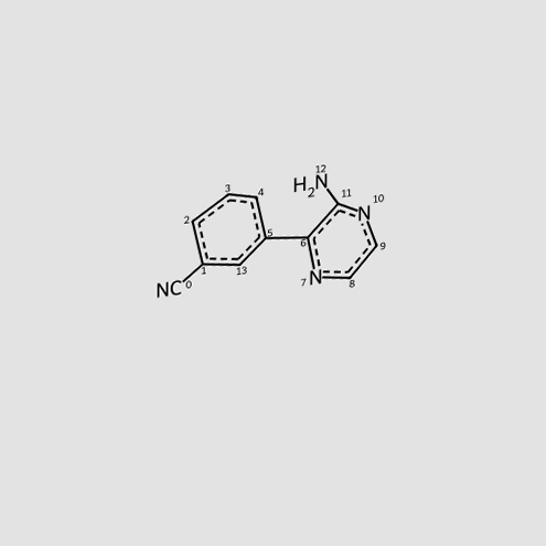 N#Cc1cccc(-c2nccnc2N)c1